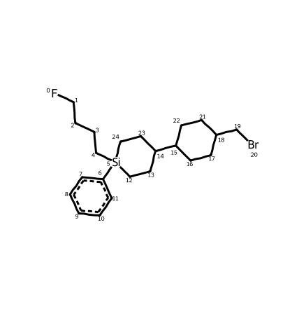 FCCCC[Si]1(c2ccccc2)CCC(C2CCC(CBr)CC2)CC1